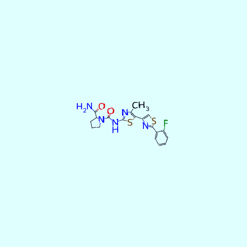 Cc1nc(NC(=O)N2CCCC2C(N)=O)sc1-c1csc(-c2ccccc2F)n1